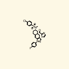 CN([C@H]1CCC2=Cc3c(cnn3-c3ccc(F)cc3)C[C@]2(C(=O)c2nccs2)C1)S(=O)(=O)c1ccc(Cl)cc1